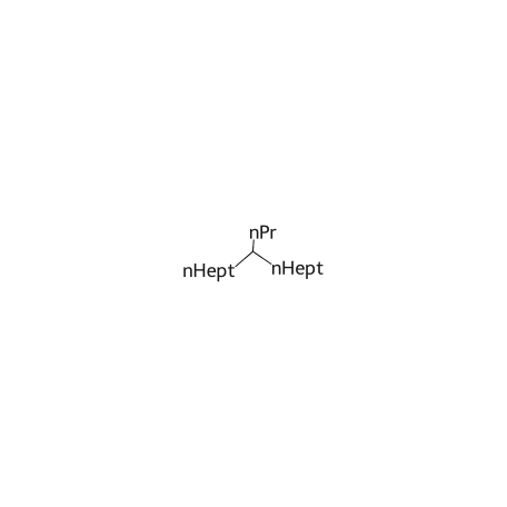 [CH2]CCC(CCCCCCC)CCCCCCC